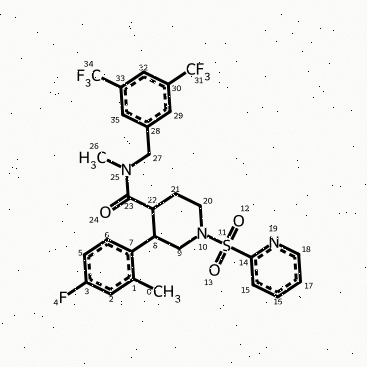 Cc1cc(F)ccc1C1CN(S(=O)(=O)c2ccccn2)CCC1C(=O)N(C)Cc1cc(C(F)(F)F)cc(C(F)(F)F)c1